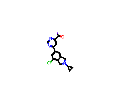 O=C(I)c1cc(-c2cc(Cl)c3c(c2)CN(C2CC2)C3)ncn1